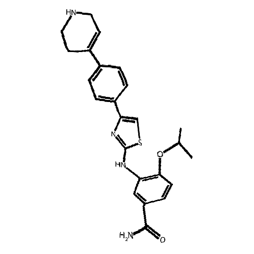 CC(C)Oc1ccc(C(N)=O)cc1Nc1nc(-c2ccc(C3=CCNCC3)cc2)cs1